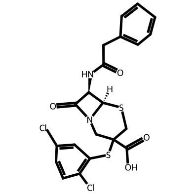 O=C(Cc1ccccc1)N[C@@H]1C(=O)N2CC(Sc3cc(Cl)ccc3Cl)(C(=O)O)CS[C@H]12